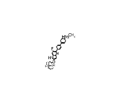 CSNC1CC=C(C2=CCC(c3nc4cc(OC5CO[C@@H]6CCO[C@H]56)[nH]c4cc3F)C=C2)CC1